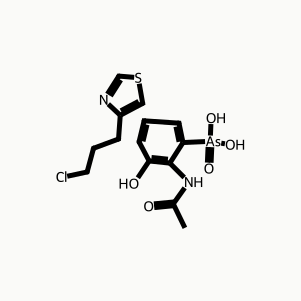 CC(=O)Nc1c(O)cccc1[As](=O)(O)O.ClCCCc1cscn1